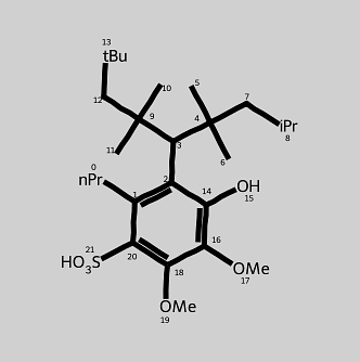 CCCc1c(C(C(C)(C)CC(C)C)C(C)(C)CC(C)(C)C)c(O)c(OC)c(OC)c1S(=O)(=O)O